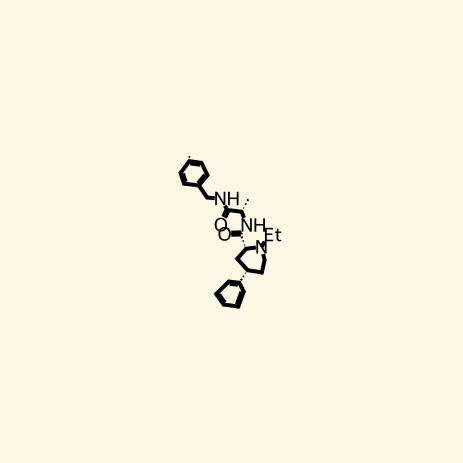 CCN1CC[C@H](c2ccccc2)C[C@@H]1C(=O)N[C@@H](C)C(=O)NCc1cc[c]cc1